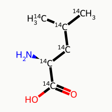 [14CH3][14CH]([14CH3])[14CH2][14C@H](N)[14C](=O)O